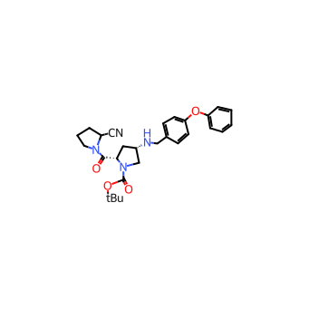 CC(C)(C)OC(=O)N1C[C@@H](NCc2ccc(Oc3ccccc3)cc2)C[C@H]1C(=O)N1CCCC1C#N